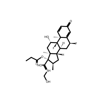 CCC(=O)O[C@@]1(C(O)=[SH]CO)[C@H](C)C[C@H]2[C@@H]3C[C@H](F)C4=CC(=O)C=C[C@]4(C)[C@@]3(F)[C@@H](O)C[C@@]21C